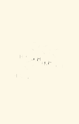 CC(C)c1ccccc1.CC(C)c1ccccc1.CC(C)c1ccccc1.CC(C)c1ccccc1